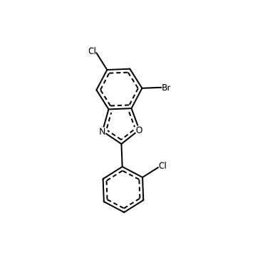 Clc1cc(Br)c2oc(-c3ccccc3Cl)nc2c1